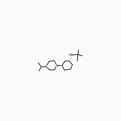 CC(C)N1CCN([C@@H]2CCC[C@@H](NC(C)(C)C)C2)CC1